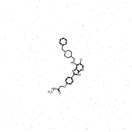 CNC(=O)COc1ccc(-c2nc3c(NCC4CCN(Cc5ccccc5)CC4)c(Cl)cnc3[nH]2)cc1